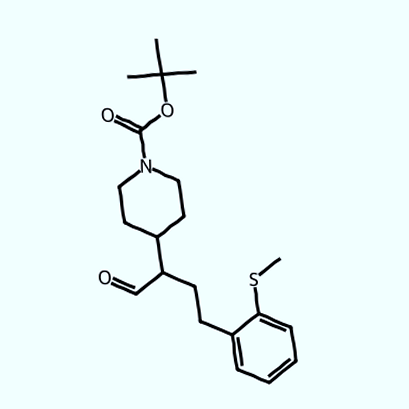 CSc1ccccc1CCC(C=O)C1CCN(C(=O)OC(C)(C)C)CC1